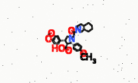 COc1ccc([C@@H]2[C@@H](C(=O)O)[C@@H](c3ccc4c(c3)OCO4)CN2CC(=O)N2CCC3CCCCC3C2)cc1